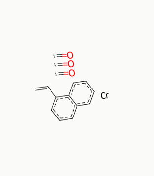 C=Cc1cccc2ccccc12.[C]=O.[C]=O.[C]=O.[Cr]